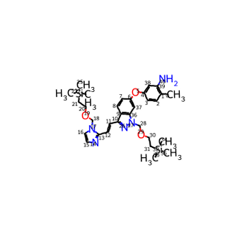 Cc1ccc(Oc2ccc3c(C=Cc4nccn4COCC[Si](C)(C)C)nn(COCC[Si](C)(C)C)c3c2)cc1N